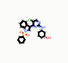 O=S(=O)(c1ccccc1)n1cc(-c2nc(N[C@@H]3CCC[C@@H](O)C3)ncc2Cl)c2ccccc21